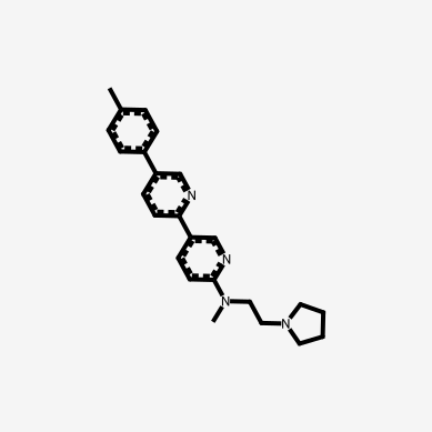 Cc1ccc(-c2ccc(-c3ccc(N(C)CCN4CCCC4)nc3)nc2)cc1